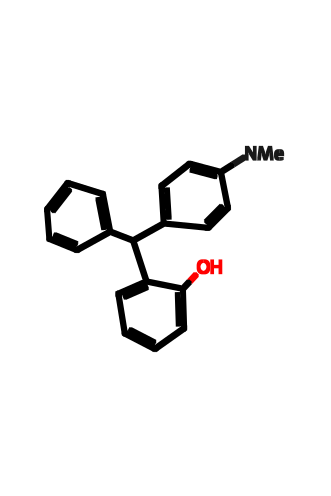 CNc1ccc(C(c2ccccc2)c2ccccc2O)cc1